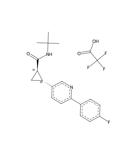 CC(C)(C)NC(=O)[C@@H]1C[C@H]1c1ccc(-c2ccc(F)cc2)nc1.O=C(O)C(F)(F)F